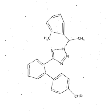 Cc1ccccc1C(C)n1nnc(-c2ccccc2-c2ccc(C=O)cc2)n1